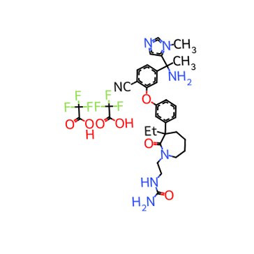 CCC1(c2cccc(Oc3cc(C(C)(N)c4cncn4C)ccc3C#N)c2)CCCCN(CCNC(N)=O)C1=O.O=C(O)C(F)(F)F.O=C(O)C(F)(F)F